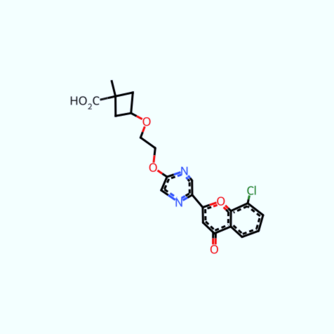 CC1(C(=O)O)CC(OCCOc2cnc(-c3cc(=O)c4cccc(Cl)c4o3)cn2)C1